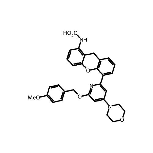 COc1ccc(COc2cc(N3CCOCC3)cc(-c3cccc4c3Oc3cccc(NC(=O)O)c3C4)n2)cc1